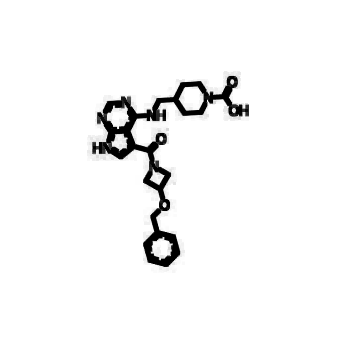 O=C(O)N1CCC(CNc2ncnc3[nH]cc(C(=O)N4CC(OCc5ccccc5)C4)c23)CC1